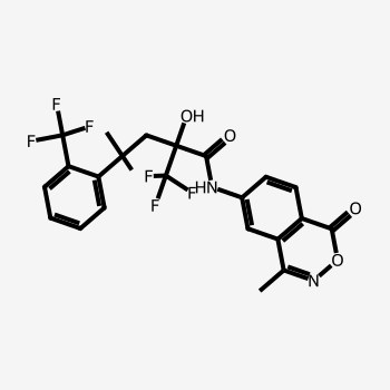 Cc1noc(=O)c2ccc(NC(=O)C(O)(CC(C)(C)c3ccccc3C(F)(F)F)C(F)(F)F)cc12